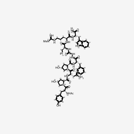 CNC(=N)NCCC[C@H](NC(=O)[C@H](CC(C)C)NC(=O)NNC(=O)[C@H](Cc1ccccc1)NC(=O)[C@@H]1C[C@@H](O)CN1C(=O)[C@H](CC(N)=O)NC(=O)[C@@H]1C[C@@H](O)CN1C(=O)[C@@H](Cc1ccc(O)cc1)NC(C)=O)C(=O)N[C@@H](Cc1c[nH]c2ccccc12)C(N)=O